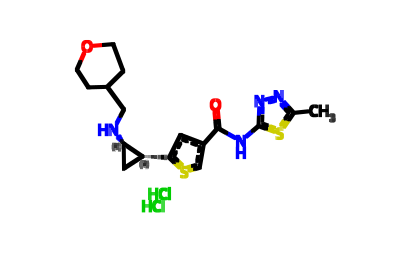 Cc1nnc(NC(=O)c2csc([C@@H]3C[C@H]3NCC3CCOCC3)c2)s1.Cl.Cl